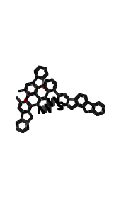 Cc1cc2c(c(-c3nnnc(-c4ccccc4-c4cc5c6ccc7c(c6cc-5sn4)Cc4ccccc4-7)c3-c3c(C)c(C)cc4c3Cc3ccccc3-4)c1C)Cc1ccccc1-2